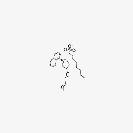 CCCCCCCCS(=O)(=O)[O-].COCCOC1CC[S+](c2cccc3ccccc23)C1